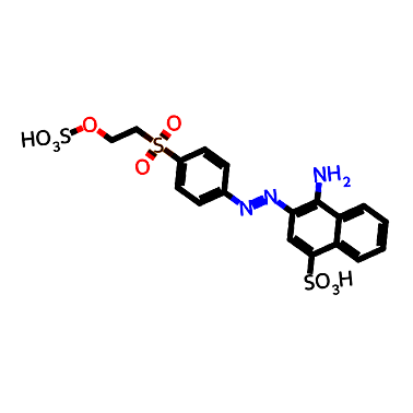 Nc1c(N=Nc2ccc(S(=O)(=O)CCOS(=O)(=O)O)cc2)cc(S(=O)(=O)O)c2ccccc12